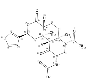 CC(=O)N[C@H]1C[C@@H](C(N)=O)[C@]2(C)CC[C@H]3C(=O)O[C@H](c4ccoc4)C[C@]3(C)[C@H]2C1=O